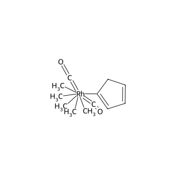 [CH3][Rh]([CH3])([CH3])([CH3])([CH3])(=[C]=O)(=[C]=O)[C]1=CC=CC1